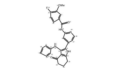 COc1cc(C(=O)Nc2cc(-c3[nH]c4c(c3Nc3ccccc3)C(=O)CCC4)ccn2)ccc1F